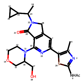 CC(=O)Nc1nc(C)c(-c2cc3c(c(N4CCOCC4CO)n2)C(=O)N(C(C)C2CC2)C3)s1